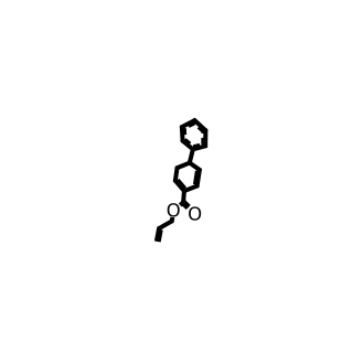 C=CCOC(=O)C1=CCC(c2ccccc2)C=C1